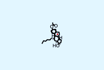 CCCCCC[C@H]1C[C@@]2(C)[C@@H](CC[C@@H]2O)[C@]2(CC)CCc3cc(OC(C)=O)ccc3[C@@H]12